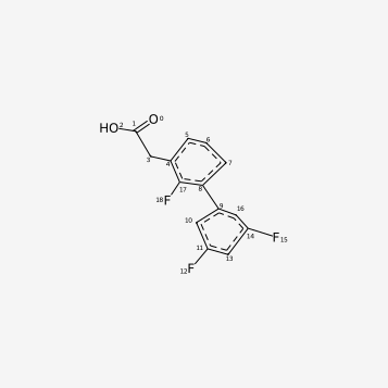 O=C(O)Cc1cccc(-c2cc(F)cc(F)c2)c1F